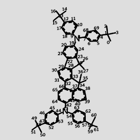 CC(C)(C)c1ccc(N(c2ccc(C(C)(C)C)cc2)c2ccc3c(c2)C(C)(C)c2c-3ccc3c2C(C)(C)c2cccc4c(N(c5ccc(C(C)(C)C)cc5)c5ccc(C(C)(C)C)cc5)ccc-3c24)cc1